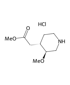 COC(=O)C[C@@H]1CCNC[C@H]1OC.Cl